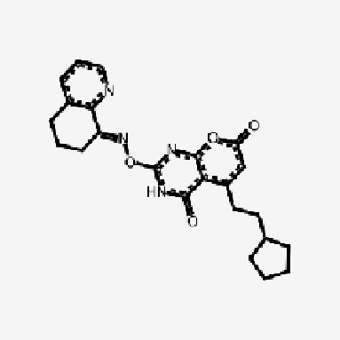 O=c1cc(CCC2CCCC2)c2c(=O)[nH]c(O/N=C3\CCCc4cccnc43)nc2o1